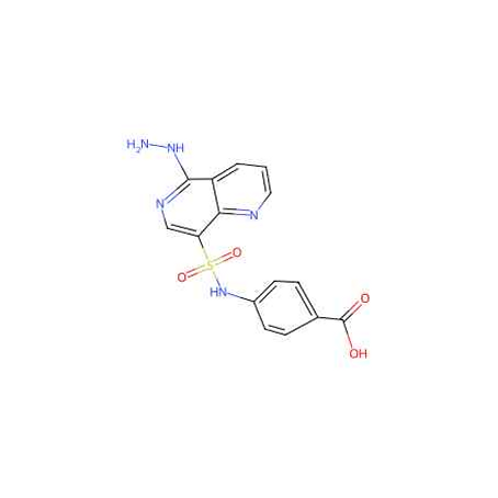 NNc1ncc(S(=O)(=O)Nc2ccc(C(=O)O)cc2)c2ncccc12